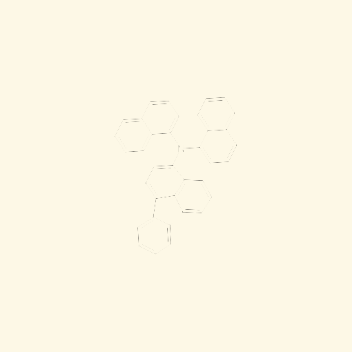 c1ccc2c(c1)-c1cccc3c(N(c4cccc5ccccc45)c4cccc5ccccc45)ccc-2c13